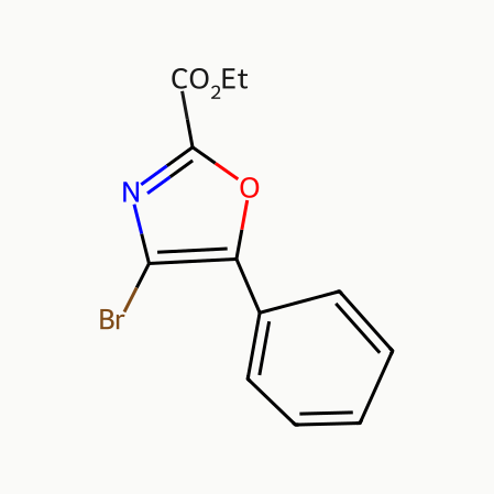 CCOC(=O)c1nc(Br)c(-c2ccccc2)o1